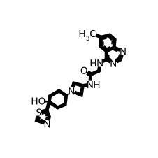 Cc1ccc2ncnc(NCC(=O)NC3CN([C@H]4CC[C@@](O)(c5cncs5)CC4)C3)c2c1